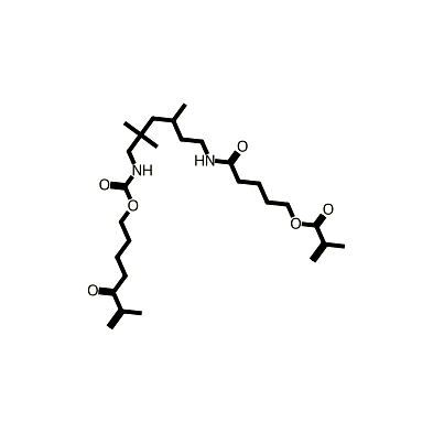 C=C(C)C(=O)CCCCOC(=O)NCC(C)(C)CC(C)CCNC(=O)CCCCOC(=O)C(=C)C